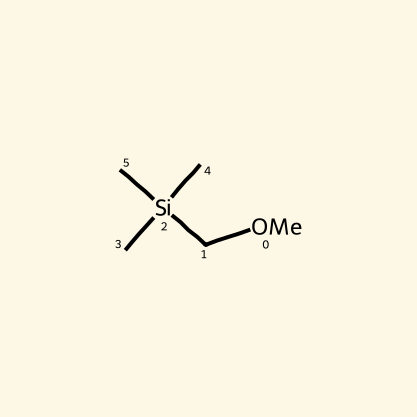 [CH2]OC[Si](C)(C)C